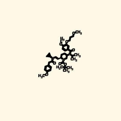 COCCCOc1cc(C(=O)N(C(C)C)C2CC[C@H](CCN(C(=O)Cc3ccc(OC)cc3)C3CC3)N(C(=O)OC(C)(C)C)C2)ccc1OC